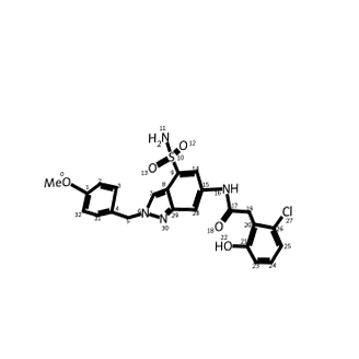 COc1ccc(Cn2cc3c(S(N)(=O)=O)cc(NC(=O)Cc4c(O)cccc4Cl)cc3n2)cc1